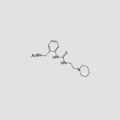 CC(=O)NCc1ccccc1NC(=S)NCCN1CCCCC1